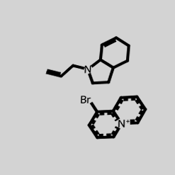 Brc1ccc[n+]2ccccc12.C=CCN1CCC2CCC=CC21